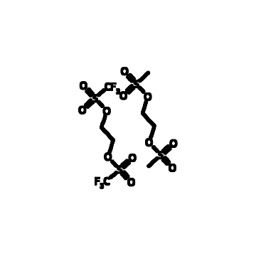 CS(=O)(=O)OCCOS(C)(=O)=O.O=S(=O)(OCCOS(=O)(=O)C(F)(F)F)C(F)(F)F